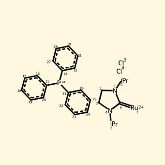 CC(C)N1CCN(C(C)C)[C]1=[Ru+2].[Cl-].[Cl-].c1ccc(P(c2ccccc2)c2ccccc2)cc1